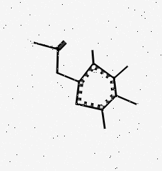 Cc1c(F)c(F)cc(CC(N)=O)c1F